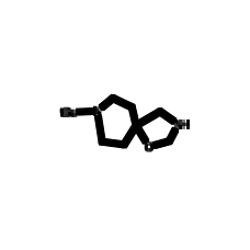 CC(C)(C)N1CCC2(CC1)CNCO2